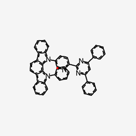 c1ccc(-c2cc(-c3ccccc3)nc(-c3ccc(-n4c5ccccc5c5ccc6c7ccccc7n(-c7ccccc7)c6c54)cn3)n2)cc1